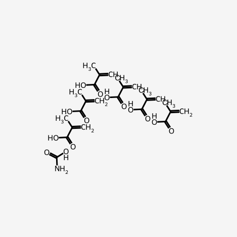 C=C(C)C(=O)O.C=C(C)C(=O)O.C=C(C)C(=O)O.C=C(C)C(=O)O.C=C(C)C(=O)O.C=C(C)C(=O)O.NC(=O)O